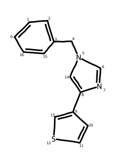 c1ccc(Cn2cnc(-c3ccsc3)c2)cc1